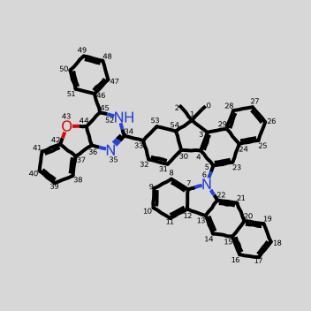 CC1(C)c2c(c(-n3c4ccccc4c4cc5ccccc5cc43)cc3ccccc23)C2C=CC(C3=NC4c5ccccc5OC4C(c4ccccc4)N3)CC21